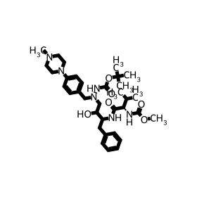 COC(=O)N[C@H](C(=O)NC(Cc1ccccc1)C(O)CN(Cc1ccc(N2CCN(C)CC2)cc1)NC(=O)OC(C)(C)C)C(C)C